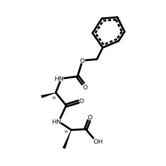 C[C@@H](NC(=O)[C@@H](C)NC(=O)OCc1ccccc1)C(=O)O